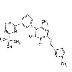 Cc1nc(OCc2ccn(C)n2)c(Cl)c(=O)n1-c1cccc(-c2ccnc(C(C)(C)O)n2)c1